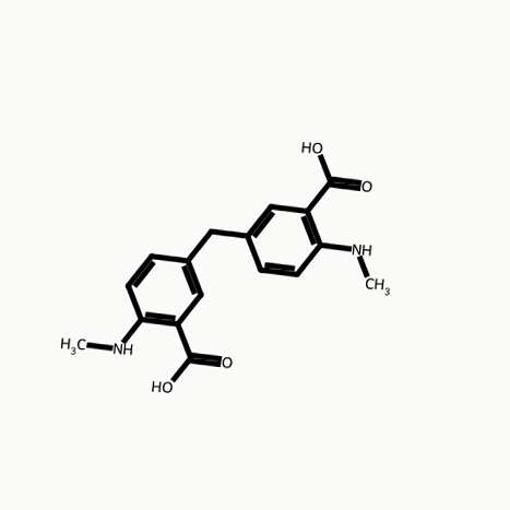 CNc1ccc(Cc2ccc(NC)c(C(=O)O)c2)cc1C(=O)O